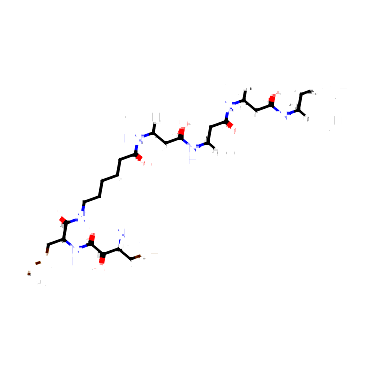 CC(C)(C)SSCC(NC(=O)C(=O)[C@@H](N)CS)C(=O)NCCCCCC(=O)NC(CC(=O)NC(CC(=O)NC(CC(=O)NC(CC(=O)O)C(=O)O)C(=O)O)C(=O)O)C(=O)O